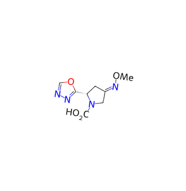 CO/N=C1\C[C@@H](c2nnco2)N(C(=O)O)C1